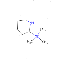 C[N+](C)(C)C1C[CH]CCN1